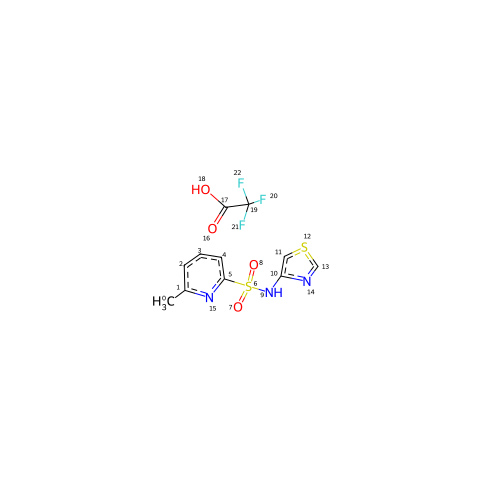 Cc1cccc(S(=O)(=O)Nc2cscn2)n1.O=C(O)C(F)(F)F